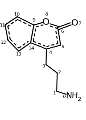 NCCCc1cc(=O)oc2ccccc12